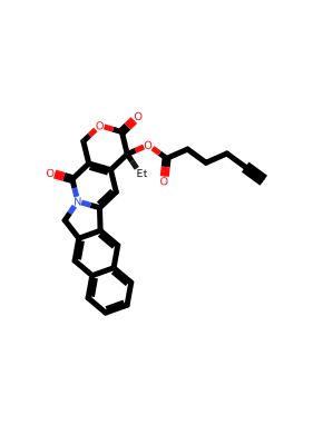 C#CCCCC(=O)OC1(CC)C(=O)OCc2c1cc1n(c2=O)Cc2cc3ccccc3cc2-1